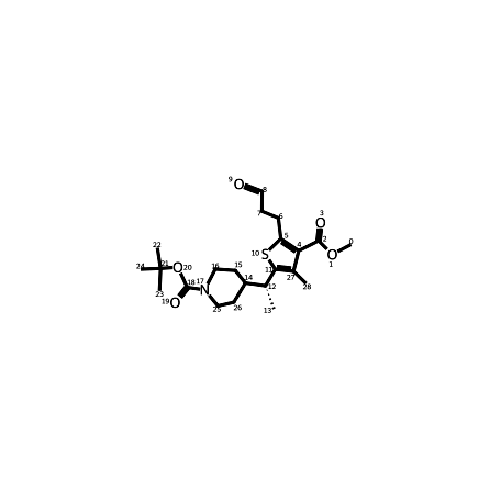 COC(=O)c1c(CCC=O)sc([C@H](C)C2CCN(C(=O)OC(C)(C)C)CC2)c1C